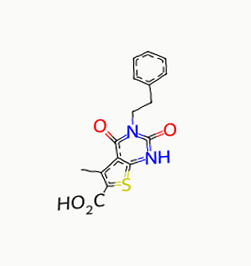 Cc1c(C(=O)O)sc2[nH]c(=O)n(CCc3ccccc3)c(=O)c12